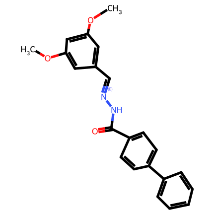 COc1cc(/C=N/NC(=O)c2ccc(-c3ccccc3)cc2)cc(OC)c1